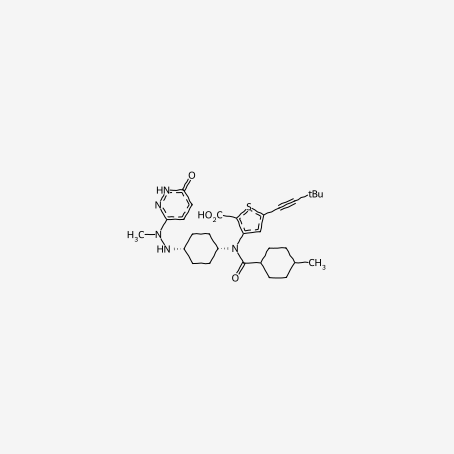 CC1CCC(C(=O)N(c2cc(C#CC(C)(C)C)sc2C(=O)O)[C@H]2CC[C@@H](NN(C)c3ccc(=O)[nH]n3)CC2)CC1